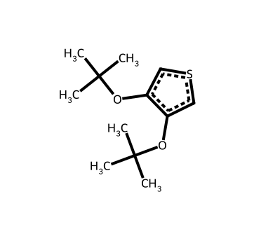 CC(C)(C)Oc1cscc1OC(C)(C)C